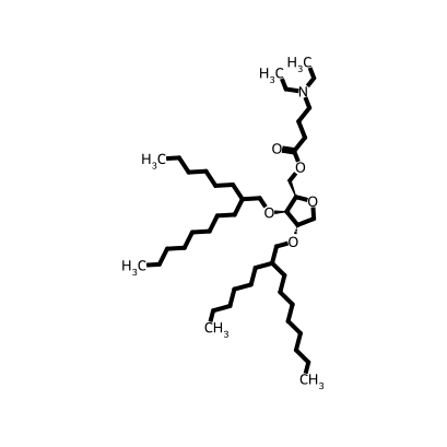 CCCCCCCCC(CCCCCC)CO[C@@H]1[C@@H](OCC(CCCCCC)CCCCCCCC)CO[C@@H]1COC(=O)CCCN(CC)CC